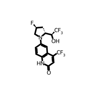 O=c1cc(C(F)(F)F)c2cc(N3C[C@@H](F)C[C@@H]3[C@H](O)C(F)(F)F)ccc2[nH]1